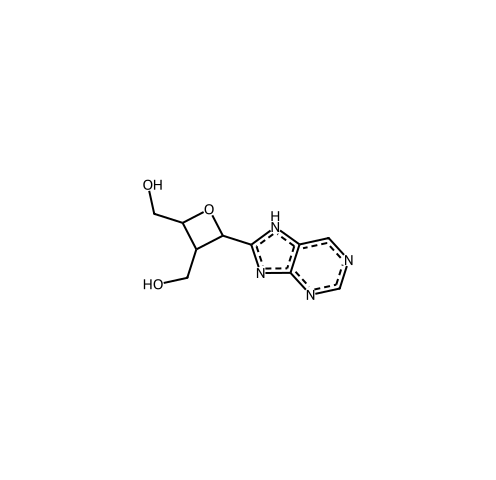 OCC1OC(c2nc3ncncc3[nH]2)C1CO